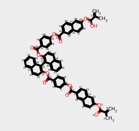 C=C(C)C(=O)Oc1ccc2cc(C(=O)Oc3ccc(C(=O)Oc4ccc5ccccc5c4-c4c(OC(=O)c5ccc(OC(=O)c6ccc7cc(OC(O)C(=C)C)ccc7c6)cc5)ccc5ccccc45)cc3)ccc2c1